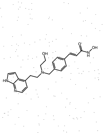 O=C(/C=C/c1ccc(CN(CCO)CCc2ccnc3[nH]ccc23)cc1)NO